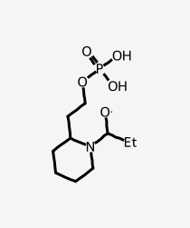 CCC([O])N1CCCCC1CCOP(=O)(O)O